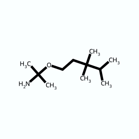 CC(C)C(C)(C)CCOC(C)(C)N